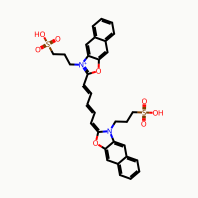 O=S(=O)(O)CCCN1C(=CC=CC=Cc2oc3cc4ccccc4cc3[n+]2CCCS(=O)(=O)O)Oc2cc3ccccc3cc21